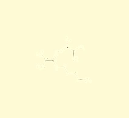 CC(C)C(=O)O.CCCCCOC(=O)C(C)C